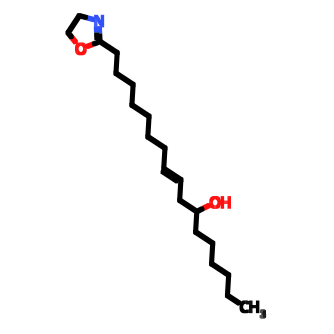 CCCCCCC(O)CC=CCCCCCCCC1=NCCO1